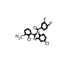 Cc1cccc(-c2nc3cc(Cl)ccc3n2C(=O)c2ccc(F)c(F)c2)c1Cl